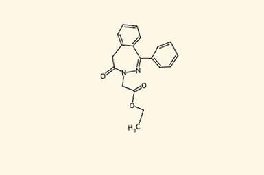 CCOC(=O)CN1N=C(c2ccccc2)c2ccccc2CC1=O